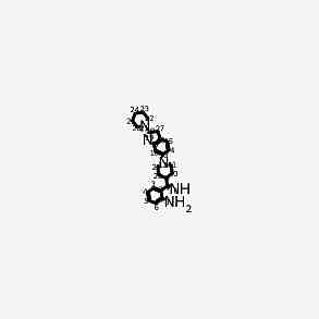 N=C(c1ccccc1N)C1CCN(c2ccc3c(c2)N=C(N2CCCCC2)C3)CC1